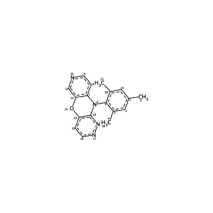 Cc1cc(C)c(N2c3ccncc3Oc3ccnnc32)c(C)c1